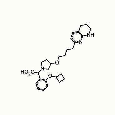 O=C(O)C(c1ccccc1OC1CCC1)N1CCC(OCCCCc2ccc3c(n2)NCCC3)C1